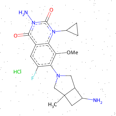 COc1c(N2CC3C(N)CC3(C)C2)c(F)cc2c(=O)n(N)c(=O)n(C3CC3)c12.Cl